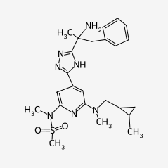 CC1CC1CN(C)c1cc(-c2nnc(C(C)(N)Cc3ccccc3)[nH]2)cc(N(C)S(C)(=O)=O)n1